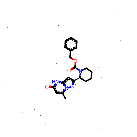 Cc1cc(=O)[nH]c2cc([C@@H]3CCCCN3C(=O)OCc3ccccc3)nn12